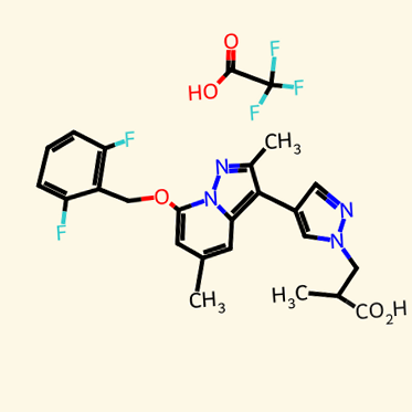 Cc1cc(OCc2c(F)cccc2F)n2nc(C)c(-c3cnn(CC(C)C(=O)O)c3)c2c1.O=C(O)C(F)(F)F